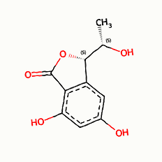 C[C@H](O)[C@H]1OC(=O)c2c(O)cc(O)cc21